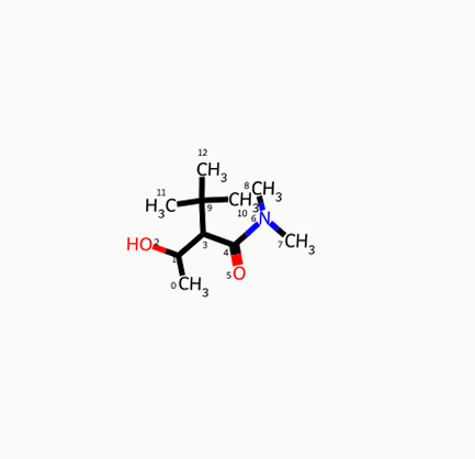 CC(O)C(C(=O)N(C)C)C(C)(C)C